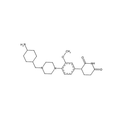 COc1cc(C2CCC(=O)NC2=O)ccc1N1CCN(CC2CCC(N)CC2)CC1